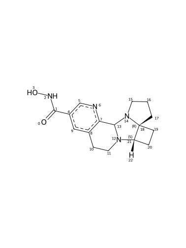 O=C(NO)c1cnc2c(c1)CCN1C2N2CCC[C@]23CC[C@H]13